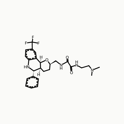 CN(C)CCNC(=O)C(=O)NC[C@H]1CC[C@@H]2[C@H](O1)c1cc(C(F)(F)F)ccc1N[C@H]2c1ccccc1